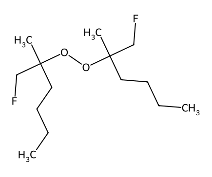 CCCCC(C)(CF)OOC(C)(CF)CCCC